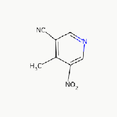 Cc1c(C#N)cncc1[N+](=O)[O-]